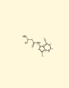 CCCCC(CC)CC(=O)Nc1cn(C)c2cccc(Cl)c12